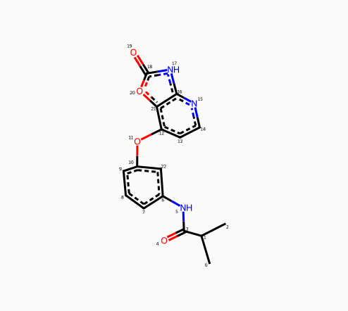 CC(C)C(=O)Nc1cccc(Oc2ccnc3[nH]c(=O)oc23)c1